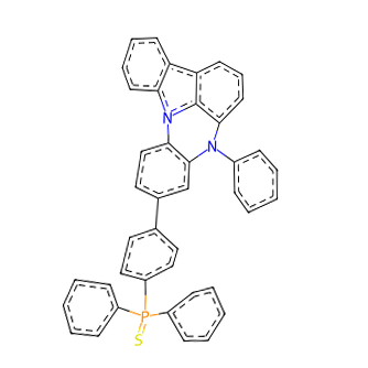 S=P(c1ccccc1)(c1ccccc1)c1ccc(-c2ccc3c(c2)N(c2ccccc2)c2cccc4c5ccccc5n-3c24)cc1